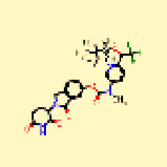 CN(C(=O)Oc1ccc2c(c1)C(=O)N(C1CCC(=O)NC1=O)C2)c1ccc(C(O[Si](C)(C)C(C)(C)C)C(F)(F)F)nc1